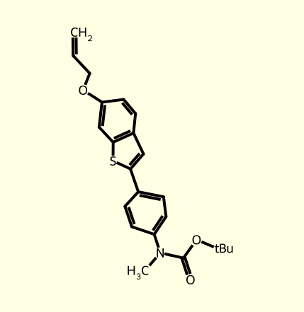 C=CCOc1ccc2cc(-c3ccc(N(C)C(=O)OC(C)(C)C)cc3)sc2c1